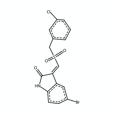 O=C1Nc2ccc(Br)cc2C1=CS(=O)(=O)Cc1cccc(Cl)c1